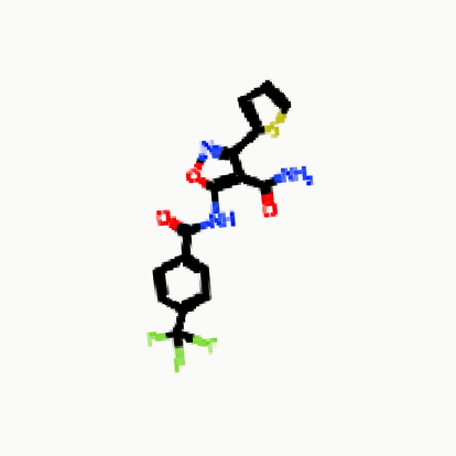 NC(=O)c1c(-c2cccs2)noc1NC(=O)c1ccc(C(F)(F)F)cc1